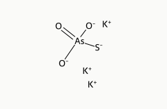 O=[As]([O-])([O-])[S-].[K+].[K+].[K+]